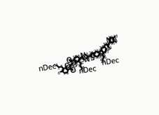 CCCCCCCCCCCCCc1c(C)ccc2c1O/C(=C1/Oc3c(ccc(-c4cnc(-c5cc6cc7c8cc9cc(-c%10cnc(C)cn%10)sc9cc8n(CCCCCCCCCCCC)c7cc6s5)cn4)c3CCCCCCCCCCCCC)C1=O)C2=O